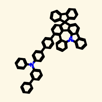 c1ccc(-c2cccc(N(c3ccccc3)c3ccc(-c4ccc(-c5ccc6c7c5-c5ccccc5-n5c8ccccc8c8ccc(c-7c85)C65c6ccccc6-c6ccccc65)cc4)cc3)c2)cc1